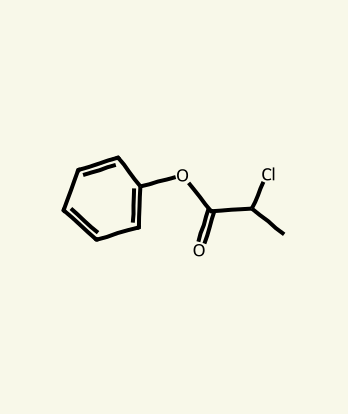 CC(Cl)C(=O)Oc1ccccc1